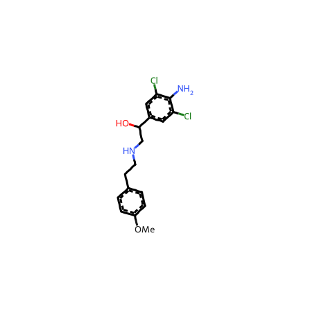 COc1ccc(CCNCC(O)c2cc(Cl)c(N)c(Cl)c2)cc1